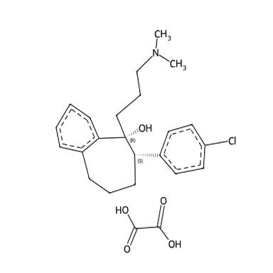 CN(C)CCC[C@]1(O)c2ccccc2CCC[C@H]1c1ccc(Cl)cc1.O=C(O)C(=O)O